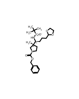 CC(C)(C)[S@+]([O-])N[C@@H](CCCC1OCCO1)[C@]1(C)CCN(C(=O)OCc2ccccc2)C1